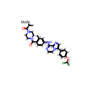 CNC(C)C(=O)N1CCN(C(=O)c2ccc(Nc3nccn4c(-c5ccc(OC(F)F)cc5)cnc34)cc2C)CC1